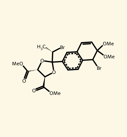 COC(=O)[C@@H]1OC(c2ccc3c(c2)C=CC(OC)(OC)C3Br)([C@H](C)Br)O[C@H]1C(=O)OC